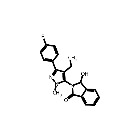 CCc1c(-c2ccc(F)cc2)nn(C)c1N1C(=O)c2ccccc2C1O